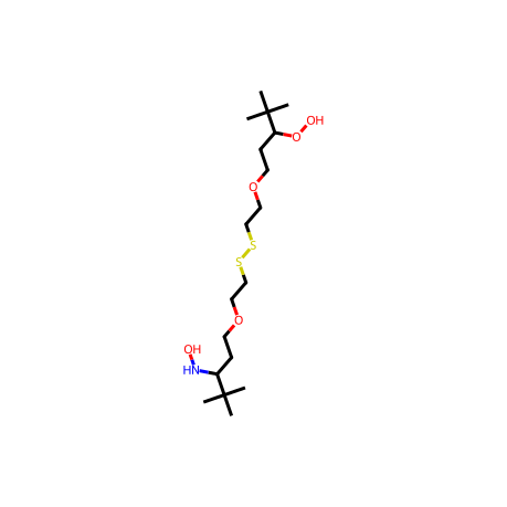 CC(C)(C)C(CCOCCSSCCOCCC(OO)C(C)(C)C)NO